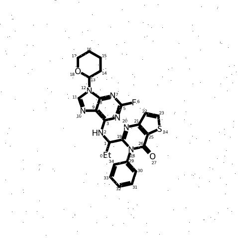 CCC(Nc1nc(F)nc2c1ncn2C1CCCCO1)c1nc2ccsc2c(=O)n1-c1ccccc1